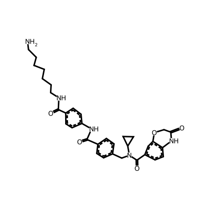 NCCCCCCCNC(=O)c1ccc(NC(=O)c2ccc(CN(C(=O)c3ccc4c(c3)OCC(=O)N4)C3CC3)cc2)cc1